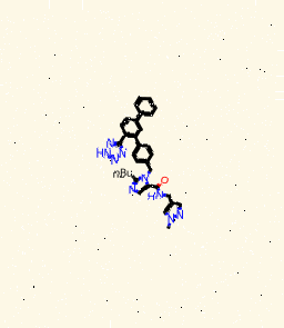 CCCCc1ncc(C(=O)NCc2cnn(C)c2)n1Cc1ccc(-c2cc(-c3ccccc3)ccc2-c2nn[nH]n2)cc1